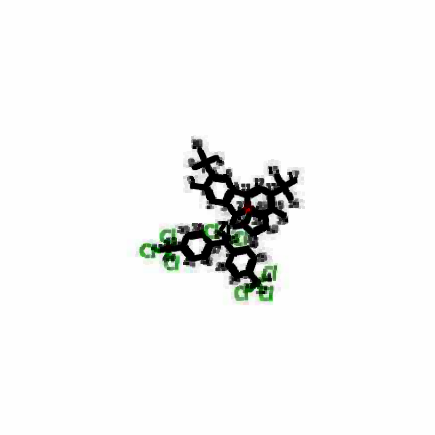 Cc1cc2c(cc1C(C)(C)C)-c1cc(C(C)(C)C)c(C)cc1[CH]2[Zr]([Cl])([Cl])(=[C](c1ccc(C(Cl)(Cl)Cl)cc1)c1ccc(C(Cl)(Cl)Cl)cc1)[CH]1C=CC=C1